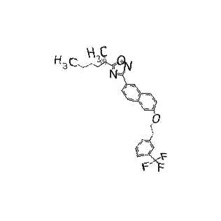 CCCC[C@H](C)c1nc(-c2ccc3cc(OCCc4cccc(C(F)(F)F)c4)ccc3c2)no1